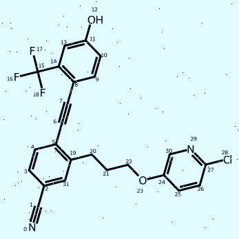 N#Cc1ccc(C#Cc2ccc(O)cc2C(F)(F)F)c(CCCOc2ccc(Cl)nc2)c1